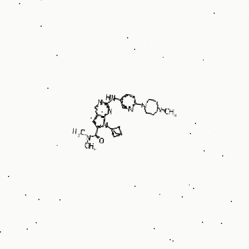 CN1CCN(c2ccc(Nc3ncc4cc(C(=O)N(C)C)n(C56CC(C5)C6)c4n3)cn2)CC1